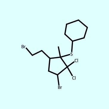 CC1(SC2CCCCC2)[C](CCBr)CC(Br)C1(Cl)Cl